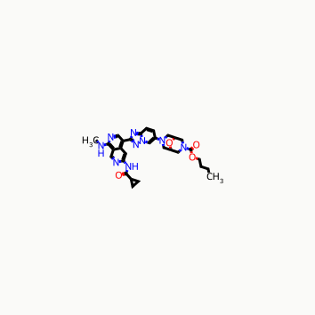 CCCCOC(=O)N1CC2CN(c3ccc4nc(-c5cnc(NC)c6cnc(NC(=O)C7CC7)cc56)nn4c3)CC(C1)O2